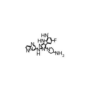 CNc1cc(F)cc2c1[nH]c1nc(Nc3cnc4ccnn4c3)nc(N3CCC(N)CC3)c12